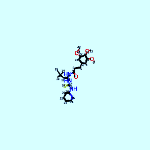 COc1cc(/C=C/C(=O)NC(CC(C)(C)C)NC(=S)Nc2ccccn2)cc(OC)c1OC